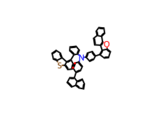 c1ccc(N(c2ccc(-c3cccc4ccccc34)cc2)c2ccc(-c3cccc4oc5c6ccccc6ccc5c34)cc2)c(-c2cccc3sc4ccccc4c23)c1